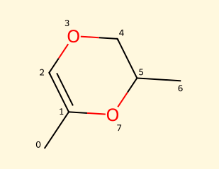 CC1=COCC(C)O1